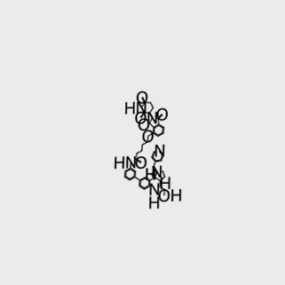 O=C1CCC(N2C(=O)c3cccc(OCCCCC(=O)Nc4cccc(-c5ccc6c(c5)[C@H]5[C@H](CCN5Cc5ccncc5)[C@@H](CO)N6)c4)c3C2=O)C(=O)N1